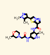 Cc1c(-c2cn3ncc(C(=O)NC4=CC(NC(=O)CN5CCOC(C)C5)=CNC4C)c3s2)cnn1C